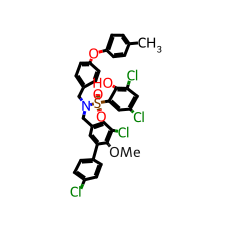 COc1c(Cl)cc(CN(Cc2ccc(Oc3ccc(C)cc3)cc2)S(=O)(=O)c2cc(Cl)cc(Cl)c2O)cc1-c1ccc(Cl)cc1